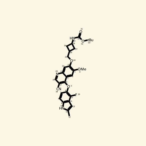 COc1cc2c(Oc3ccc4[nH]c(C)cc4c3F)c(C#N)cnc2cc1OCC1CC(NC(=O)OC(C)(C)C)C1